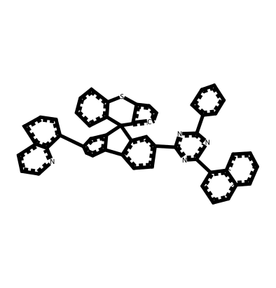 c1ccc(-c2nc(-c3ccc4c(c3)C3(c5ccccc5Sc5ccccc53)c3cc(-c5cccc6cccnc56)ccc3-4)nc(-c3cccc4ccccc34)n2)cc1